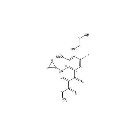 COc1c(NCCO)c(F)cc2c(=O)c(C(=O)C[N+](=O)[O-])cn(C3CC3)c12